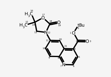 CC(C)(C)OC(=O)c1ccnc2ccc(N3CC(C)(C)OC3=O)cc12